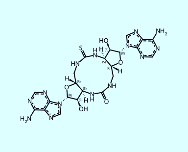 Nc1ncnc2c1ncn2[C@@H]1O[C@@H]2CNC(=S)N[C@H]3[C@@H](O)[C@H](n4cnc5c(N)ncnc54)O[C@@H]3CNC(=O)N[C@H]2[C@H]1O